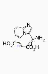 NC(=O)c1cnc2ccccn12.O=C(O)/C=C/C(=O)O